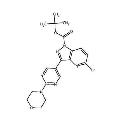 CC(C)(C)OC(=O)n1nc(-c2cnc(N3CCOCC3)nc2)c2nc(Br)ccc21